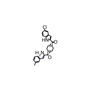 Cc1cccc(/C=C(\N)C(=O)N2CCN(C(=O)c3cc4cc(Cl)ccc4[nH]3)CC2)c1